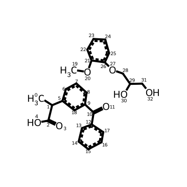 CC(C(=O)O)c1cccc(C(=O)c2ccccc2)c1.COc1ccccc1OCC(O)CO